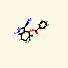 N#Cc1n[nH]c2c1[C@H](OC(=O)c1ccccc1)C(F)(F)CC2